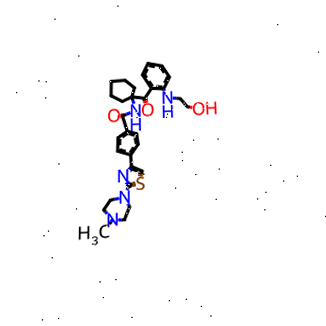 CN1CCN(c2nc(-c3ccc(C(=O)NC4(C(=O)c5ccccc5NCCO)CCCCC4)cc3)cs2)CC1